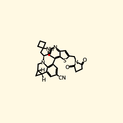 N#Cc1cc(-c2ccnc3cc(CN4C(=O)CCC4=O)sc23)c2c(c1)[C@@H]1C[C@@H]1CN2[C@@H]1CNC2(CCC2)C1